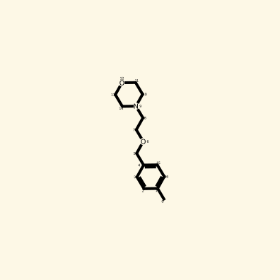 Cc1ccc(COCCN2CCOCC2)cc1